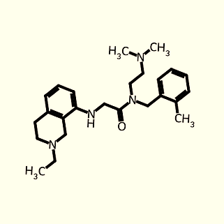 CCN1CCc2cccc(NCC(=O)N(CCN(C)C)Cc3ccccc3C)c2C1